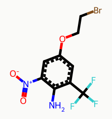 Nc1c([N+](=O)[O-])cc(OCCBr)cc1C(F)(F)F